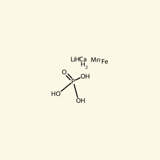 O=P(O)(O)O.[CaH2].[Fe].[LiH].[Mn]